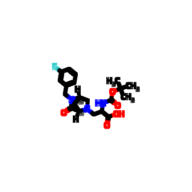 CC(C)(C)OC(=O)NC(CN1C[C@@H]2C[C@H]1C(=O)N2Cc1cccc(F)c1)C(=O)O